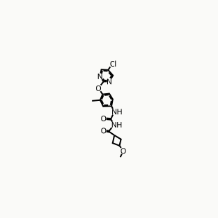 COC1CC(C(=O)NC(=O)Nc2ccc(Oc3ncc(Cl)cn3)c(C)c2)C1